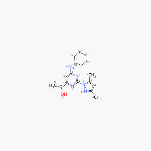 Cc1cc(C)n(-c2nc(NC3CCCCC3)cc(C(C)O)n2)n1